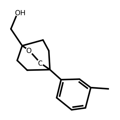 Cc1cccc(C23CCC(CO)(CC2)OC3)c1